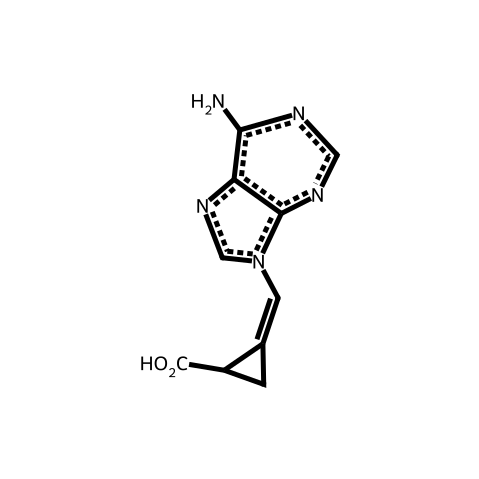 Nc1ncnc2c1ncn2/C=C1/CC1C(=O)O